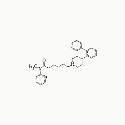 CN(C(=O)CCCCCN1CCC(c2ccccc2-c2ccccc2)CC1)c1ccccn1